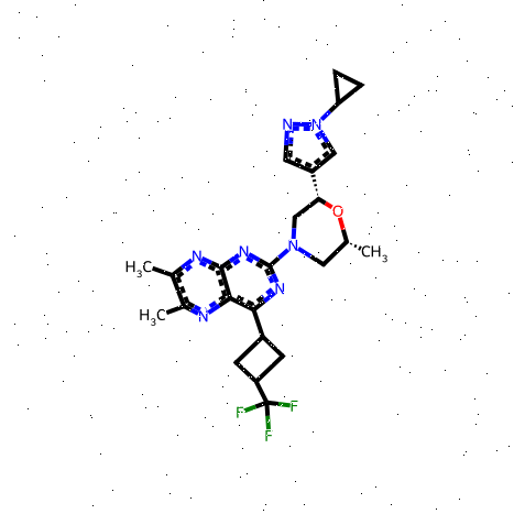 Cc1nc2nc(N3C[C@@H](C)O[C@@H](c4cnn(C5CC5)c4)C3)nc(C3CC(C(F)(F)F)C3)c2nc1C